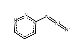 [N-]=[N+]=Nc1cccnn1